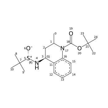 CC1C[C@H](N[S@@+]([O-])C(C)(C)C)c2ccccc2N1C(=O)OC(C)(C)C